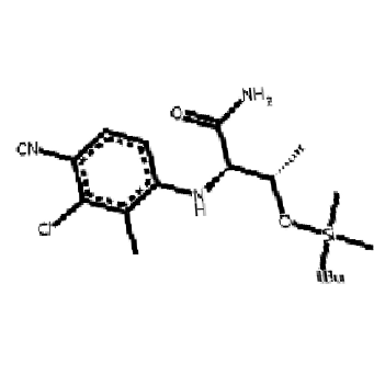 [C-]#[N+]c1ccc(N[C@@H](C(N)=O)[C@H](C)O[Si](C)(C)C(C)(C)C)c(C)c1Cl